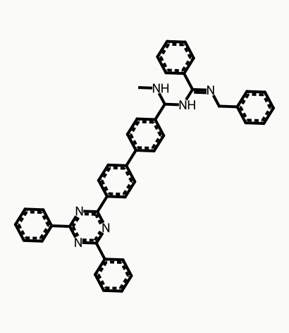 CNC(N/C(=N\Cc1ccccc1)c1ccccc1)c1ccc(-c2ccc(-c3nc(-c4ccccc4)nc(-c4ccccc4)n3)cc2)cc1